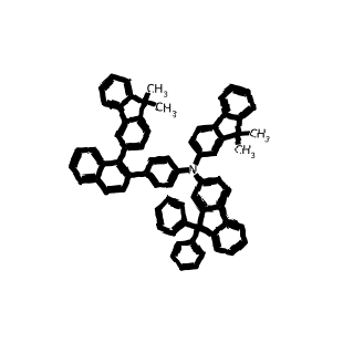 CC1(C)c2ccccc2-c2cc(-c3c(-c4ccc(N(c5ccc6c(c5)C(C)(C)c5ccccc5-6)c5ccc6c(c5)C(c5ccccc5)(c5ccccc5)c5ccccc5-6)cc4)ccc4ccccc34)ccc21